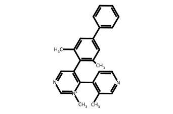 Cc1cnccc1-c1c(-c2c(C)cc(-c3ccccc3)cc2C)cnc[n+]1C